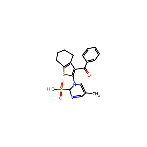 CC1=CN(c2sc3c(c2C(=O)c2ccccc2)CCCC3)C(S(C)(=O)=O)N=C1